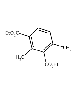 CCOC(=O)c1ccc(C)c(C(=O)OCC)c1C